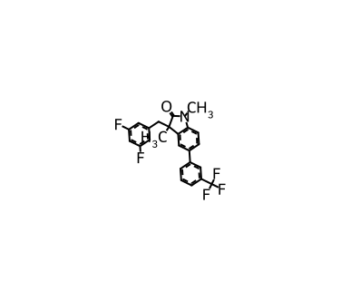 CN1C(=O)C(C)(Cc2cc(F)cc(F)c2)c2cc(-c3cccc(C(F)(F)F)c3)ccc21